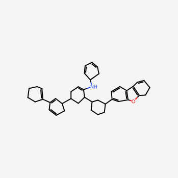 C1=CCC(NC2=CCC(C3C=C(C4=CCCCC4)C=CC3)CC2C2CCCC(c3ccc4c5c(oc4c3)CCC=C5)C2)C=C1